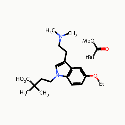 CCOc1ccc2c(c1)c(CCN(C)C)cn2CCC(C)(C)C(=O)O.COC(=O)C(C)(C)C